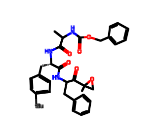 CC(NC(=O)OCc1ccccc1)C(=O)N[C@@H](Cc1ccc(C(C)(C)C)cc1)C(=O)NC(Cc1ccccc1)C(=O)C1(C)CO1